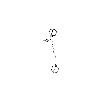 OC(CCCCCCC[N+]12CCC(CC1)CC2)[N+]12CCC(CC1)CC2